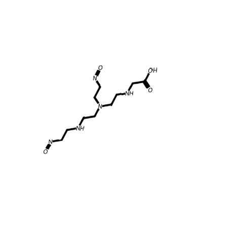 O=NCCNCCN(CCN=O)CCNCC(=O)O